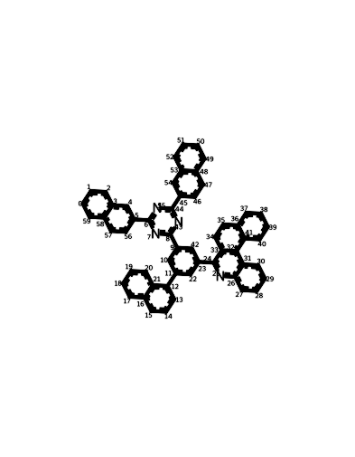 c1ccc2cc(-c3nc(-c4cc(-c5cccc6ccccc56)cc(-c5nc6ccccc6c6c5ccc5ccccc56)c4)nc(-c4ccc5ccccc5c4)n3)ccc2c1